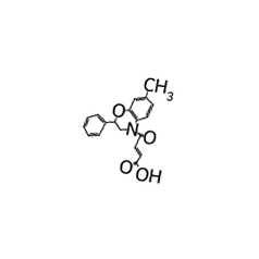 Cc1ccc2c(c1)OC(c1ccccc1)CN2C(=O)/C=C/C(=O)O